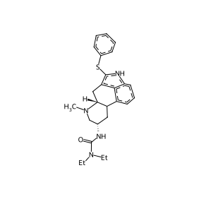 CCN(CC)C(=O)N[C@H]1CC2c3cccc4[nH]c(Sc5ccccc5)c(c34)C[C@H]2N(C)C1